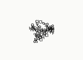 O=C(Nc1cc(Cl)c(O)c(NCc2ccccc2Sc2ccc(Cl)cc2)c1)NN1CCOCC1.O=C(Nc1cc(Cl)nc(Cl)c1)Nc1cc(Cl)c(O)c(NCc2ccccc2Sc2ccc(Cl)cc2)c1.Oc1c(Cl)cc(-c2nc3ccccc3s2)cc1NC(=S)NC1CCCC1.Oc1c(NCc2ccccc2C(F)(F)F)ccc(F)c1F